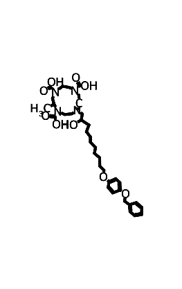 CC1CN(C(=O)O)CCN(C(=O)O)CCN(CC(O)CCCCCCCCCOc2ccc(OCc3ccccc3)cc2)CCN1C(=O)O